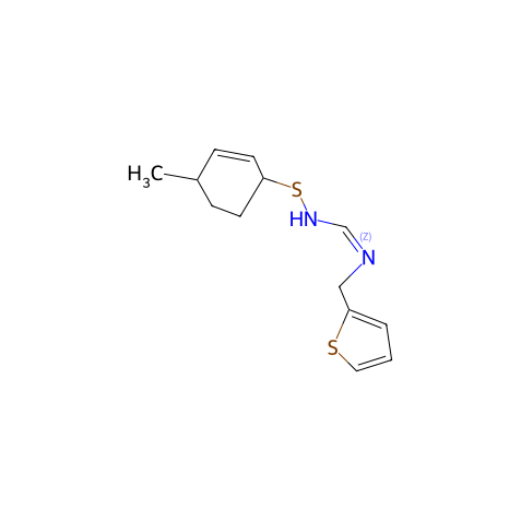 CC1C=CC(SN/C=N\Cc2cccs2)CC1